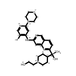 C[C@](O)(c1ccc2cnc(Nc3cc(N4CCOCC4)ncc3F)cc2n1)C1CCN(CCO)CC1